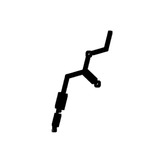 CCOC(=O)CC#P=S